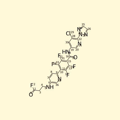 O=C(F)CCNc1ccc(-c2c(F)c(F)c(C(=O)Nc3cnc(-n4nccn4)c(Cl)c3)c(F)c2F)nc1